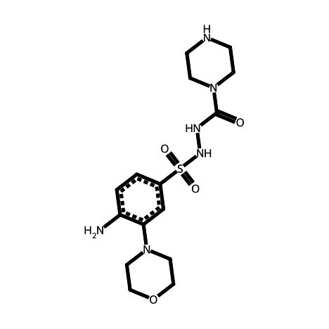 Nc1ccc(S(=O)(=O)NNC(=O)N2CCNCC2)cc1N1CCOCC1